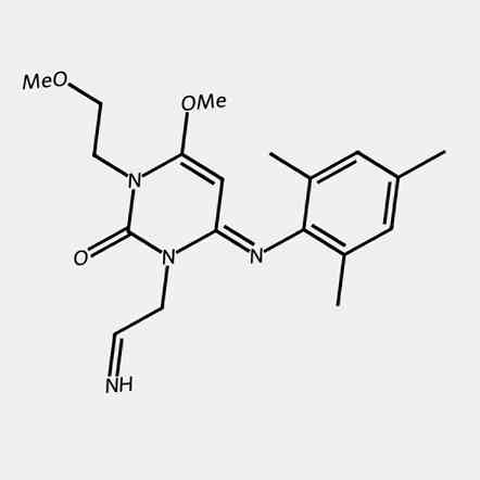 COCCn1c(OC)c/c(=N\c2c(C)cc(C)cc2C)n(CC=N)c1=O